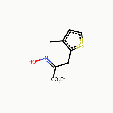 CCOC(=O)C(Cc1sccc1C)=NO